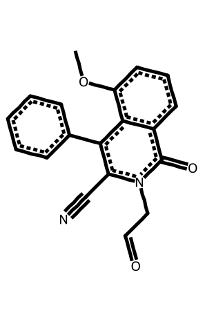 COc1cccc2c(=O)n(CC=O)c(C#N)c(-c3ccccc3)c12